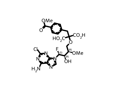 COC(=O)c1ccc(CC(OC[C@@H](OC)[C@@H](O)[C@H](F)n2cnc3c(N)nc(Cl)nc32)(C(=O)O)C(=O)O)cc1